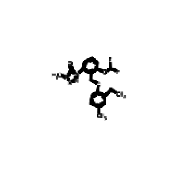 CCc1cc(C)ccc1OCc1c(OC(F)F)cccc1-n1nnn(C)c1=O